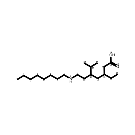 CCCCCCCCNCCC(CC(CC)CC(=O)O)C(C)C